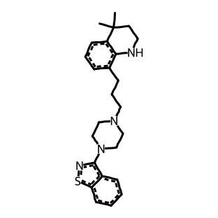 CC1(C)CCNc2c(CCCN3CCN(c4nsc5ccccc45)CC3)cccc21